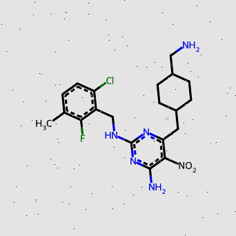 Cc1ccc(Cl)c(CNc2nc(N)c([N+](=O)[O-])c(CC3CCC(CN)CC3)n2)c1F